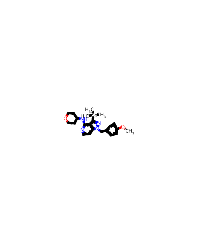 COc1ccc(Cn2n[c]([Sn]([CH3])([CH3])[CH3])c3c(NC4CCOCC4)nccc32)cc1